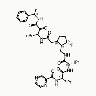 CCCC(NC(=O)C[C@H]1CC[C@H](F)[C@H]1CNC(=O)[C@@H](NC(=O)[C@H](NC(=O)c1cnccn1)C(C)C)C(C)C)C(=O)C(=O)N[C@H](C)c1ccccc1